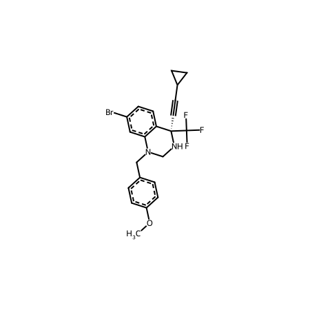 COc1ccc(CN2CN[C@](C#CC3CC3)(C(F)(F)F)c3ccc(Br)cc32)cc1